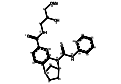 COCC(O)CNC(=O)c1ccc2c(n1)N(C(=O)Nc1ccccn1)C1CCN2C1